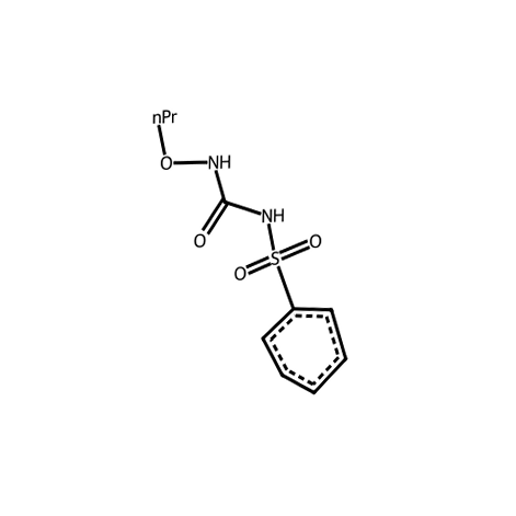 CCCONC(=O)NS(=O)(=O)c1ccccc1